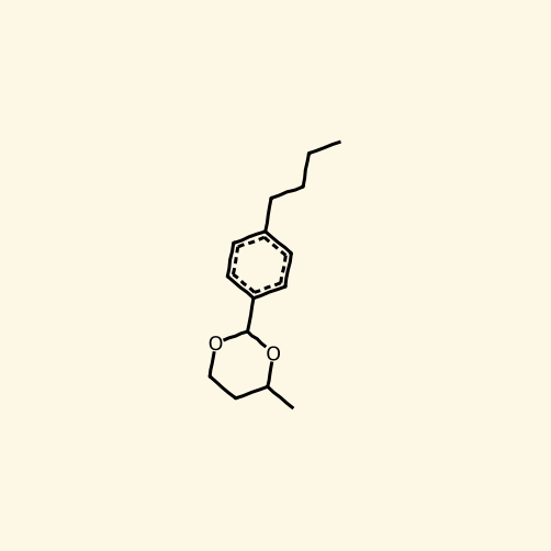 CCCCc1ccc(C2OCCC(C)O2)cc1